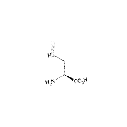 C=[SH]C[C@H](N)C(=O)O